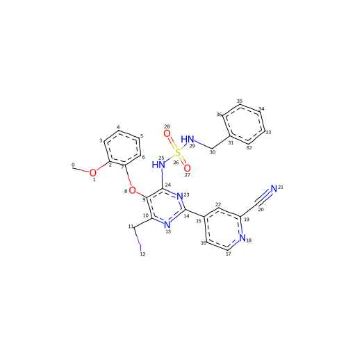 COc1ccccc1Oc1c(CI)nc(-c2ccnc(C#N)c2)nc1NS(=O)(=O)NCc1ccccc1